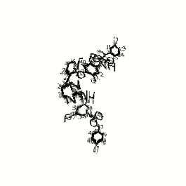 Cc1cc(NS(=O)(=O)C(C)c2ccccc2)c(F)c(F)c1Oc1ncccc1-c1ccnc(N[C@H]2C[C@H](F)CN(C(=O)OCc3ccccc3)C2)n1